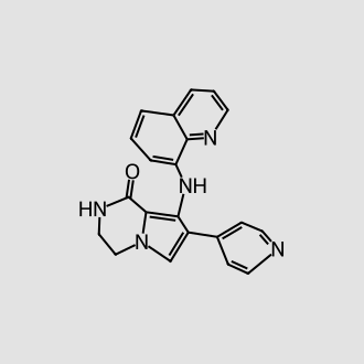 O=C1NCCn2cc(-c3ccncc3)c(Nc3cccc4cccnc34)c21